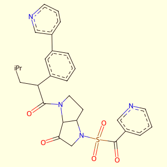 CC(C)CC(C(=O)N1CCC2C1C(=O)CN2S(=O)(=O)C(=O)c1cccnc1)c1cccc(-c2cccnc2)c1